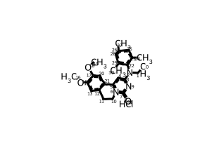 CCN(c1cc2n(c(=O)n1)CCc1cc(OC)c(OC)cc1-2)c1c(C)cc(C)cc1C.Cl